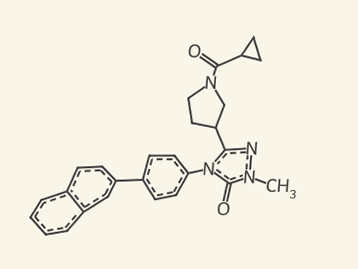 Cn1nc(C2CCN(C(=O)C3CC3)C2)n(-c2ccc(-c3ccc4ccccc4c3)cc2)c1=O